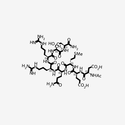 CSCC[C@H](NC(=O)[C@H](CCC(=O)O)NC(=O)[C@H](CC(=O)O)NC(C)=O)C(=O)N[C@@H](CCC(N)=O)C(=O)N[C@@H](CCCNC(=N)N)C(=O)N[C@@H](CCCNC(=N)N)C(=O)N[C@@H](C)C(=O)N[C@@H](CC(=O)O)C(N)=O